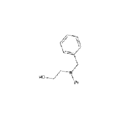 CC(C)N(CCO)Cc1ccccc1